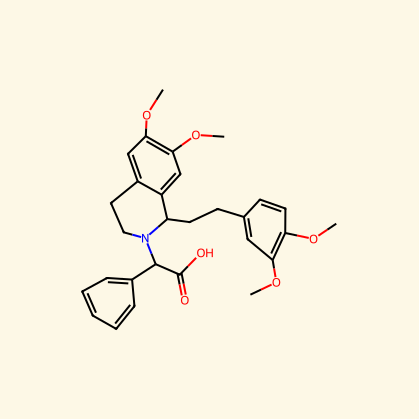 COc1ccc(CCC2c3cc(OC)c(OC)cc3CCN2C(C(=O)O)c2ccccc2)cc1OC